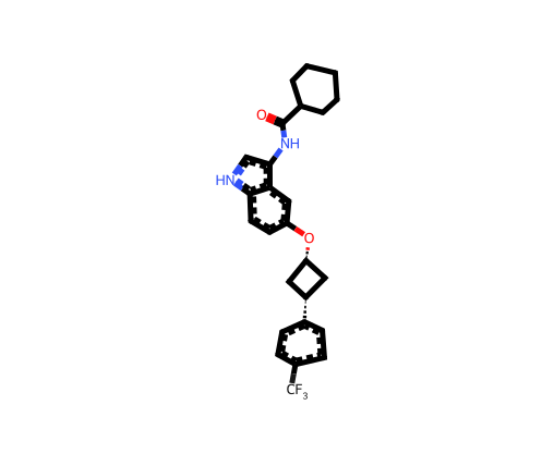 O=C(Nc1c[nH]c2ccc(O[C@H]3C[C@@H](c4ccc(C(F)(F)F)cc4)C3)cc12)C1CCCCC1